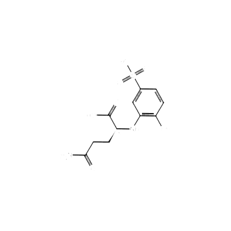 NC(=O)CC[C@H](Nc1cc(S(=O)(=O)O)ccc1O)C(=O)O